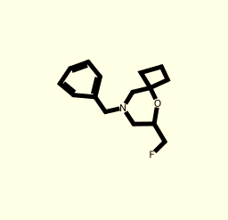 FCC1CN(Cc2ccccc2)CC2(CCC2)O1